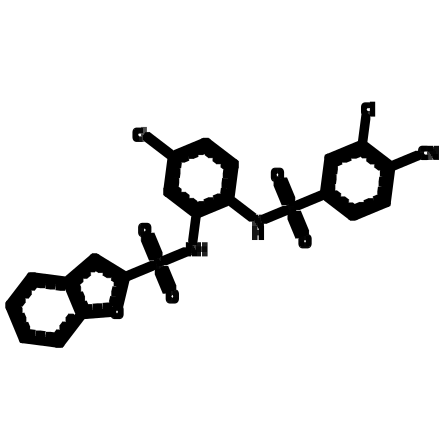 N#Cc1ccc(S(=O)(=O)Nc2ccc(Cl)cc2NS(=O)(=O)c2cc3ccccc3o2)cc1Cl